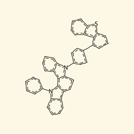 c1ccc(-n2c3ccccc3c3ccc4c(c5ccccc5n4-c4ccc(-c5cccc6sc7ccccc7c56)cc4)c32)cc1